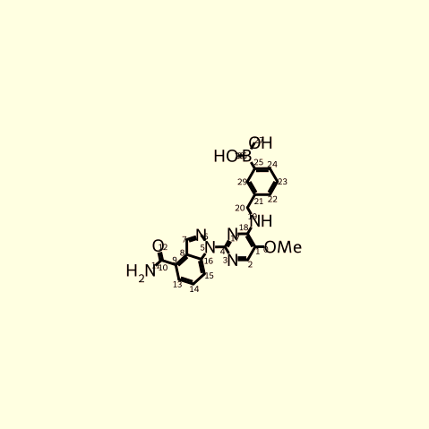 COc1cnc(-n2ncc3c(C(N)=O)cccc32)nc1NCc1cccc(B(O)O)c1